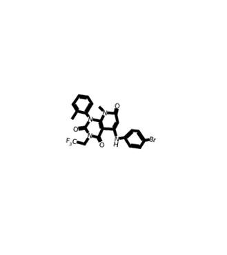 Cc1ccccc1-n1c(=O)n(CC(F)(F)F)c(=O)c2c(Nc3ccc(Br)cc3)cc(=O)n(C)c21